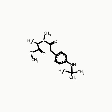 COC(=O)C(C)N(C)C(=O)Cc1ccc(NC(C)(C)C)cc1